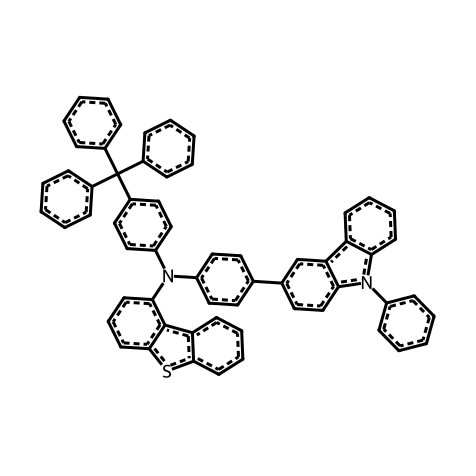 c1ccc(-n2c3ccccc3c3cc(-c4ccc(N(c5ccc(C(c6ccccc6)(c6ccccc6)c6ccccc6)cc5)c5cccc6sc7ccccc7c56)cc4)ccc32)cc1